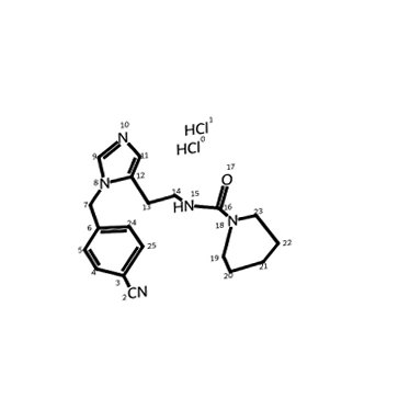 Cl.Cl.N#Cc1ccc(Cn2cncc2CCNC(=O)N2CCCCC2)cc1